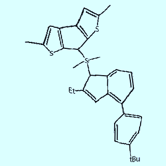 CCC1=Cc2c(-c3ccc(C(C)(C)C)cc3)cccc2C1[Si](C)(C)C1c2sc(C)cc2-c2cc(C)sc21